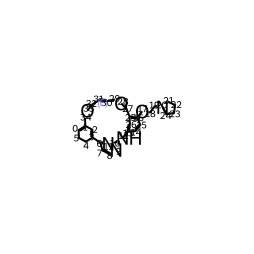 C1=C2C=C(CC1)c1ccnc(n1)Nc1ccc(OCCN3CCCC3)c(c1)COC/C=C/COC2